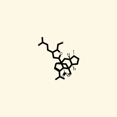 CC(C)CCC1CC(C23C[C@@H]4[C@H](C)CC[C@H]4C4(C=O)CC2C=C(C(C)C)[C@@]34C(=O)O)OC1CI